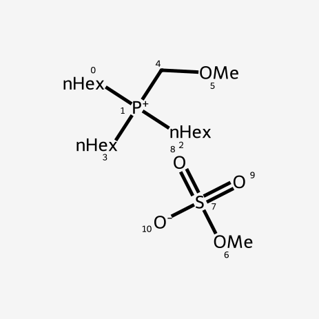 CCCCCC[P+](CCCCCC)(CCCCCC)COC.COS(=O)(=O)[O-]